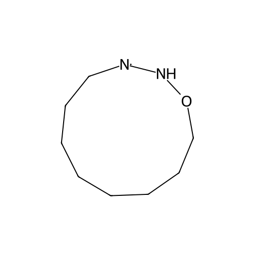 C1CCCCON[N]CCC1